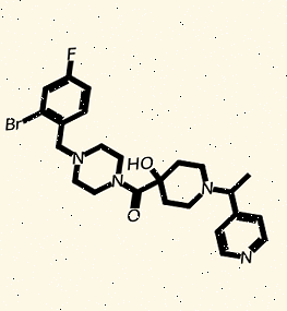 CC(c1ccncc1)N1CCC(O)(C(=O)N2CCN(Cc3ccc(F)cc3Br)CC2)CC1